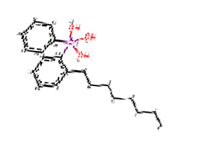 CCCCCCCCc1ccccc1P(O)(O)(O)c1ccccc1